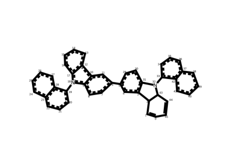 C1=CC2c3cc(-c4ccc5c(c4)c4ccccc4n5-c4cccc5ccccc45)ccc3N(c3cccc4ccccc34)C2C=C1